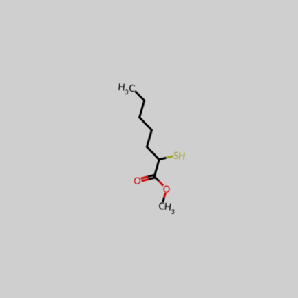 CCCCCC(S)C(=O)OC